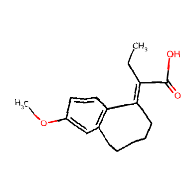 CC/C(C(=O)O)=C1/CCCc2cc(OC)ccc21